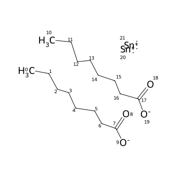 CCCCCCCC(=O)[O-].CCCCCCCC(=O)[O-].[Sn+].[Sn+]